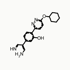 N=C/C(=C\N)c1ccc(-c2ccc(OC3CCCCC3)nn2)c(O)c1